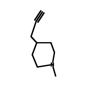 C#CCC1CCN(C)CC1